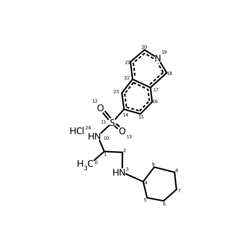 CC(CNC1CCCCC1)NS(=O)(=O)c1ccc2cnccc2c1.Cl